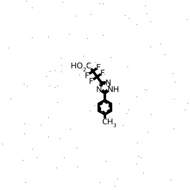 Cc1ccc(-c2nc(C(F)(F)C(F)(F)C(=O)O)n[nH]2)cc1